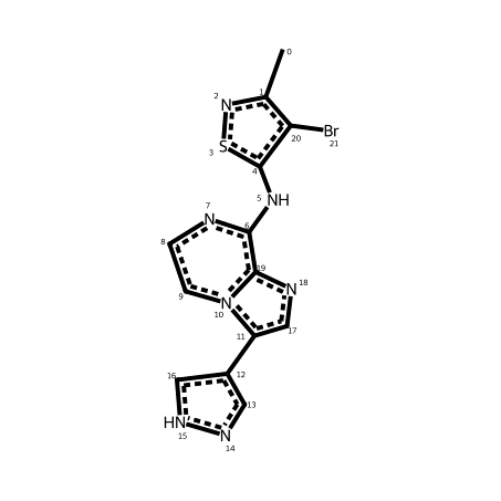 Cc1nsc(Nc2nccn3c(-c4cn[nH]c4)cnc23)c1Br